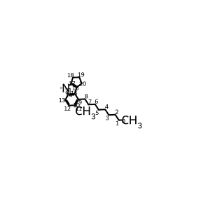 CCCCCCCCCc1c(C)ccc2c1C1=C(CCC1)[N]2